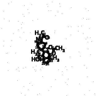 CC(=O)OC[C@H]1Cc2c(cnn2C(C)=O)C[C@]1(C)[C@H]1CC[C@]2(C)C=CC[C@H]2[C@@H]1CO